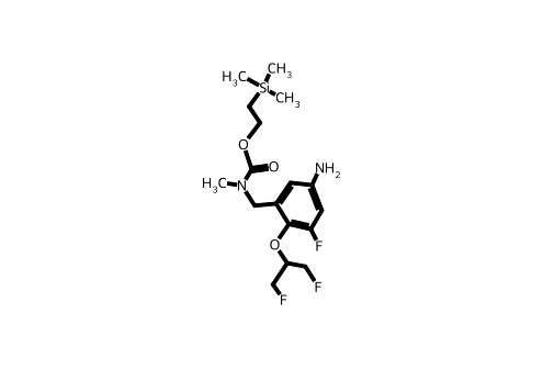 CN(Cc1cc(N)cc(F)c1OC(CF)CF)C(=O)OCC[Si](C)(C)C